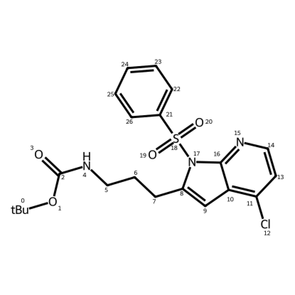 CC(C)(C)OC(=O)NCCCc1cc2c(Cl)ccnc2n1S(=O)(=O)c1ccccc1